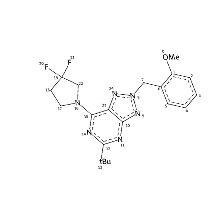 COc1ccccc1Cn1nc2nc(C(C)(C)C)nc(N3CCC(F)(F)C3)c2n1